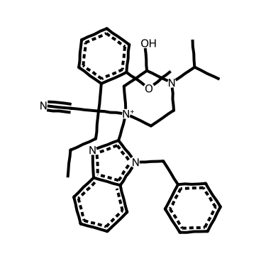 CCCC(C#N)(c1ccccc1OC)[N+]1(c2nc3ccccc3n2Cc2ccccc2)CCN(C(C)C)C(O)C1